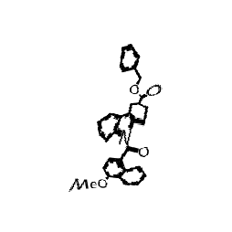 COc1ccc(C(=O)n2c3c(c4ccccc42)CC(C(=O)OCc2ccccc2)CC3)c2ccccc12